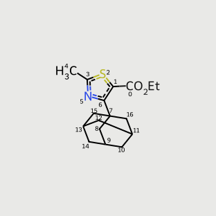 CCOC(=O)c1sc(C)nc1C12CC3CC(CC(C3)C1)C2